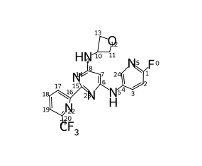 Fc1ccc(Nc2cc(NC3COC3)nc(-c3cccc(C(F)(F)F)n3)n2)cn1